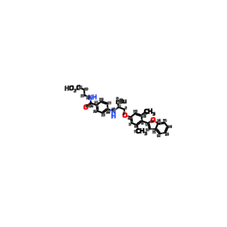 CCCC[C@@H](COc1cc(C)c(-c2cc3ccccc3o2)c(C)c1)Nc1ccc(C(=O)NCCC(=O)O)cc1